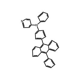 c1ccc(-c2c3ccccc3c(-c3ccc(N(c4ccccc4)c4ccncc4)cc3)c3ccccc23)cc1